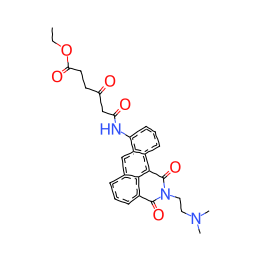 CCOC(=O)CCC(=O)CC(=O)Nc1cccc2c3c4c(cccc4cc12)C(=O)N(CCN(C)C)C3=O